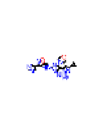 Nc1nc(NCc2cc(-c3cncnc3)no2)nc(N2CCOCC2)c1-c1cc(C2CC2)n[nH]1